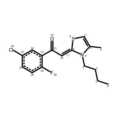 CCCCN1C(C)=CS/C1=C\C(=O)c1cc(Cl)ccc1F